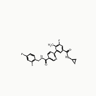 Cc1c(F)cc(C(=O)NC2CC2)cc1-c1ccc(C(=O)NCc2ccc(F)cc2F)cn1